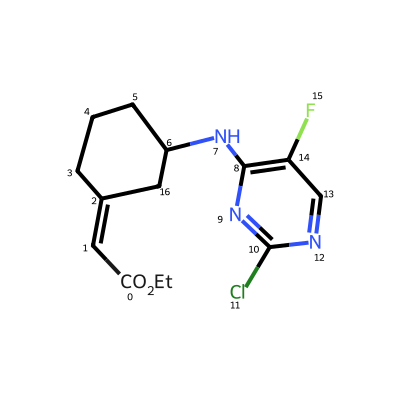 CCOC(=O)/C=C1/CCCC(Nc2nc(Cl)ncc2F)C1